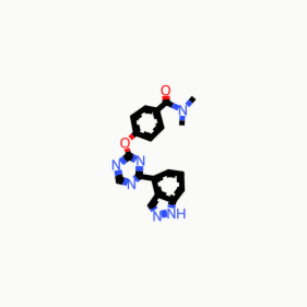 CN(C)C(=O)c1ccc(Oc2ncnc(-c3cccc4[nH]ncc34)n2)cc1